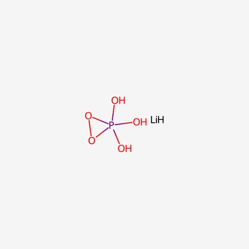 OP1(O)(O)OO1.[LiH]